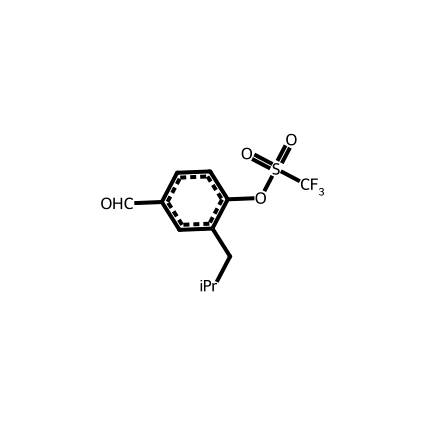 CC(C)Cc1cc(C=O)ccc1OS(=O)(=O)C(F)(F)F